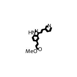 COC(=O)C=Cc1ccc2[nH]nc(C=Cc3cccnc3)c2c1